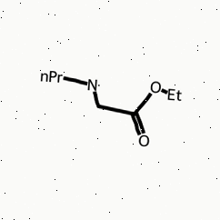 CCC[N]CC(=O)OCC